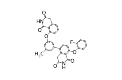 Cc1cc(Oc2cccc3c2C(=O)NC(=O)C3)cc(-c2ccc(Oc3ccccc3F)c3c2CC(=O)NC3=O)c1